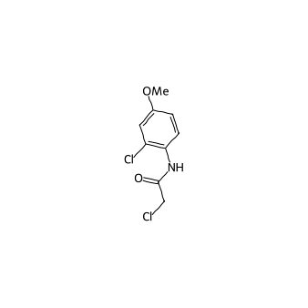 COc1ccc(NC(=O)CCl)c(Cl)c1